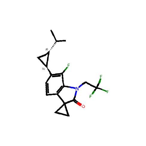 CC(C)[C@H]1C[C@@H]1c1ccc2c(c1F)N(CC(F)(F)F)C(=O)C21CC1